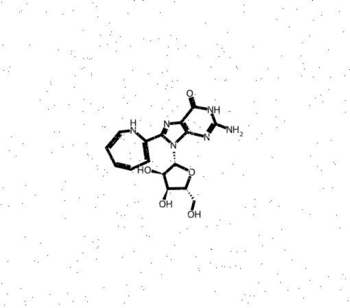 Nc1nc2c(nc(C3=CC=CC=CN3)n2[C@@H]2O[C@H](CO)[C@@H](O)[C@H]2O)c(=O)[nH]1